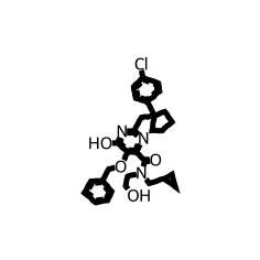 O=C(c1nc(CC2(c3ccc(Cl)cc3)CCCC2)nc(O)c1OCc1ccccc1)N(CCO)CC1CC1